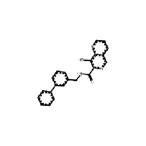 O=C(NCc1cccc(-c2ccccc2)c1)c1ncc2cccnc2c1O